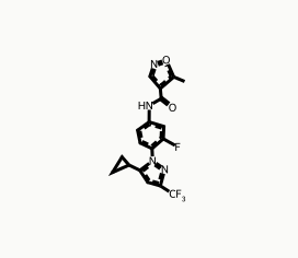 Cc1oncc1C(=O)Nc1ccc(-n2nc(C(F)(F)F)cc2C2CC2)c(F)c1